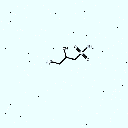 NCC(O)CS(N)(=O)=O